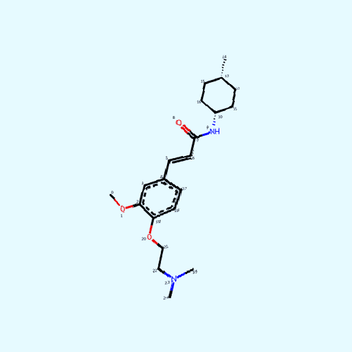 COc1cc(C=CC(=O)N[C@H]2CC[C@@H](C)CC2)ccc1OCCN(C)C